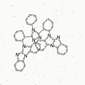 c1ccc(-n2c(-c3ccccc3-n3c4ccccc4n4c5ccccc5nc34)nnc2-c2ccccc2-n2c3ccccc3n3c4ccccc4nc23)cc1